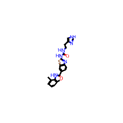 Cc1cccc(C)c1NC(=O)c1ccc2nc(NC(=O)NCCc3c[nH]cn3)sc2c1